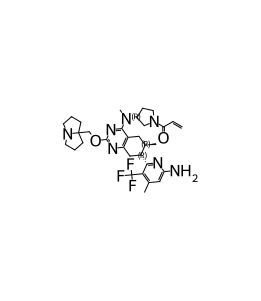 C=CC(=O)N1CC[C@@H](N(C)c2nc(OCC34CCCN3CCC4)nc3c2C[C@@H](C)[C@H](c2nc(N)cc(C)c2C(F)(F)F)C3)C1